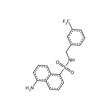 Nc1cccc2c(S(=O)(=O)NCc3cccc(C(F)(F)F)c3)cccc12